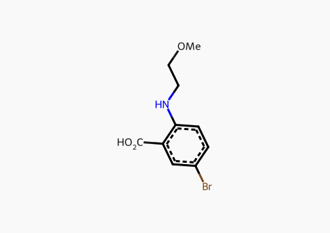 COCCNc1ccc(Br)cc1C(=O)O